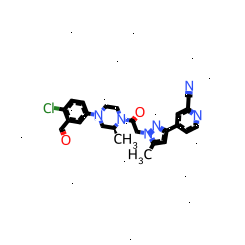 Cc1cc(-c2ccnc(C#N)c2)nn1CC(=O)N1CCN(c2ccc(Cl)c(C=O)c2)C[C@@H]1C